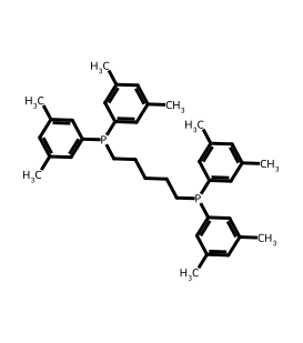 Cc1cc(C)cc(P(CCCCCP(c2cc(C)cc(C)c2)c2cc(C)cc(C)c2)c2cc(C)cc(C)c2)c1